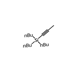 CC#C[Si](CCCC)(CCCC)CCCC